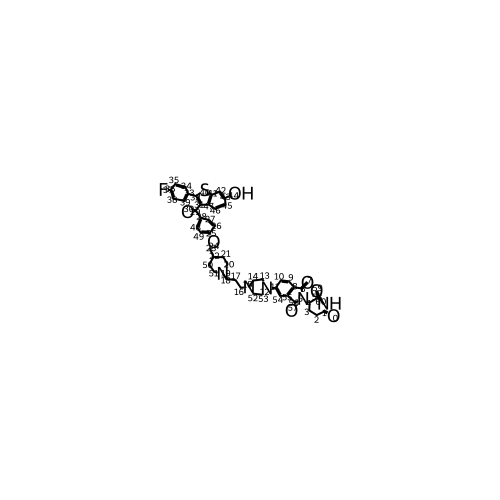 O=C1CCC(N2C(=O)c3ccc(N4CCN(CCCN5CCC(COc6ccc(C(=O)c7c(-c8ccc(F)cc8)sc8cc(O)ccc78)cc6)CC5)CC4)cc3C2=O)C(=O)N1